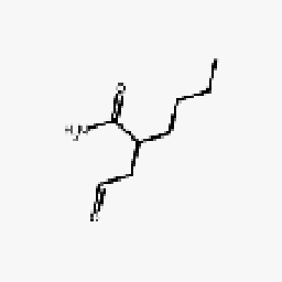 CCCCC(CC=O)C(N)=O